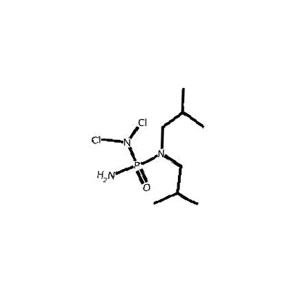 CC(C)CN(CC(C)C)P(N)(=O)N(Cl)Cl